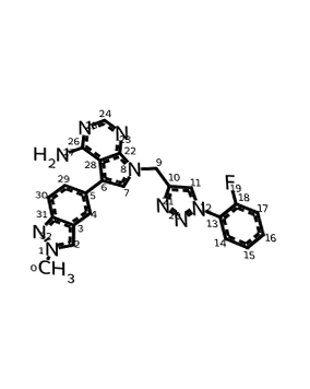 Cn1cc2cc(-c3cn(Cc4cn(-c5ccccc5F)nn4)c4ncnc(N)c34)ccc2n1